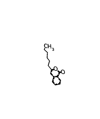 CCCCCCc1cc2ccccc2c(=O)o1